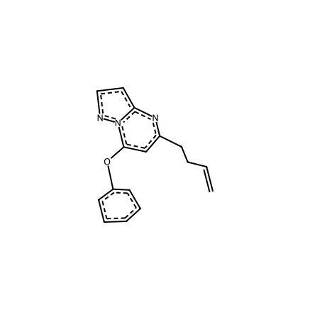 C=CCCc1cc(Oc2ccccc2)n2nccc2n1